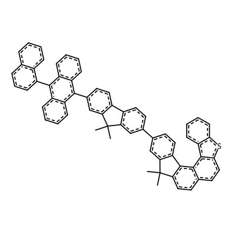 CC1(C)c2cc(-c3ccc4c(c3)C(C)(C)c3ccc5ccc6sc7ccccc7c6c5c3-4)ccc2-c2ccc(-c3c4ccccc4c(-c4cccc5ccccc45)c4ccccc34)cc21